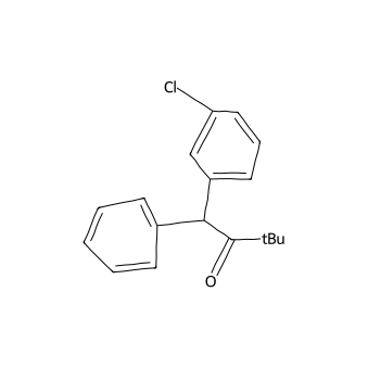 CC(C)(C)C(=O)C(c1ccccc1)c1cccc(Cl)c1